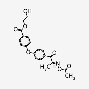 CC(=O)O/N=C(\C)C(=O)c1ccc(Oc2ccc(C(=O)OCCO)cc2)cc1